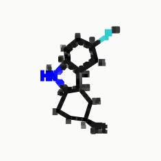 [CH2]C[C@H]1CCc2[nH]c3ccc(F)cc3c2C1